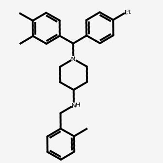 CCc1ccc(C(c2ccc(C)c(C)c2)N2CCC(NCc3ccccc3C)CC2)cc1